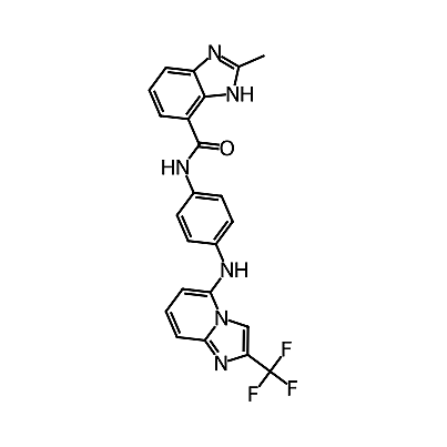 Cc1nc2cccc(C(=O)Nc3ccc(Nc4cccc5nc(C(F)(F)F)cn45)cc3)c2[nH]1